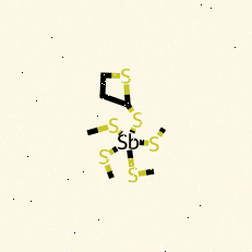 C[S][Sb]([S]C)([S]C)([S]C)[S]C1CCS1